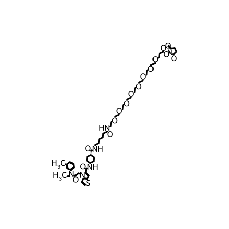 CCN(C(=O)Cn1c(C(=O)N[C@H]2CC[C@H](C(=O)NCCCCCC(=O)NCCOCCOCCOCCOCCOCCOCCOCCOCCC(=O)ON3C(=O)CCC3=O)CC2)cc2sccc21)c1cccc(C)c1